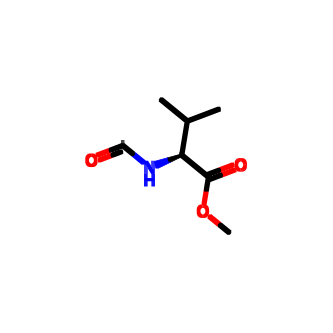 COC(=O)[C@@H](N[C]=O)C(C)C